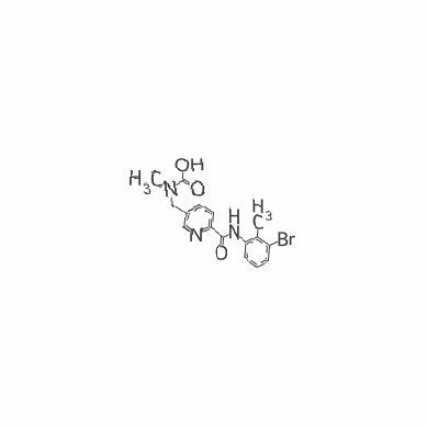 Cc1c(Br)cccc1NC(=O)c1ccc(CN(C)C(=O)O)cn1